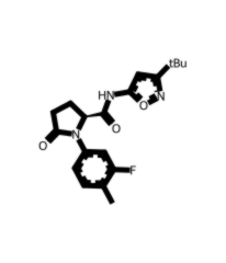 Cc1ccc(N2C(=O)CC[C@H]2C(=O)Nc2cc(C(C)(C)C)no2)cc1F